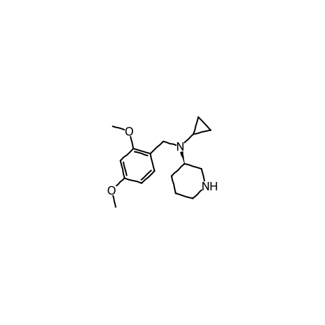 COc1ccc(CN(C2CC2)[C@@H]2CCCNC2)c(OC)c1